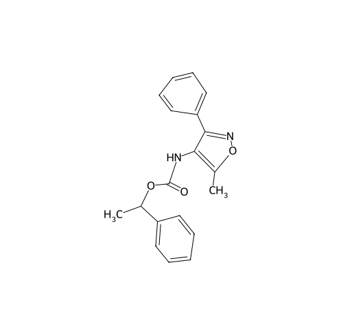 Cc1onc(-c2ccccc2)c1NC(=O)OC(C)c1ccccc1